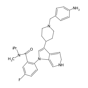 CC(C)N(C)C(=O)c1cc(F)ccc1-n1cc(C2CCN(Cc3ccc(N)cc3)CC2)c2c1=CNCC=2